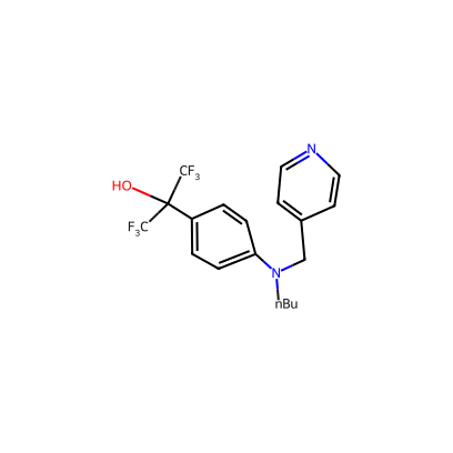 CCCCN(Cc1ccncc1)c1ccc(C(O)(C(F)(F)F)C(F)(F)F)cc1